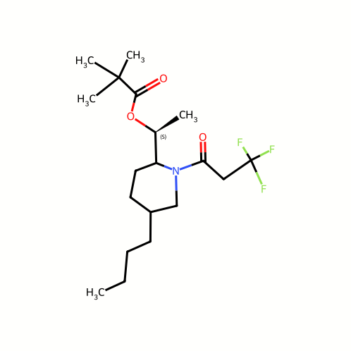 CCCCC1CCC([C@H](C)OC(=O)C(C)(C)C)N(C(=O)CC(F)(F)F)C1